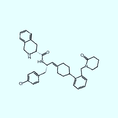 O=C(N[C@H](C=C1CCC(c2ccccc2CN2CCCCC2=O)CC1)Cc1ccc(Cl)cc1)[C@H]1Cc2ccccc2CN1